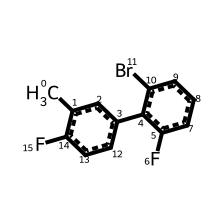 Cc1cc(-c2c(F)cccc2Br)ccc1F